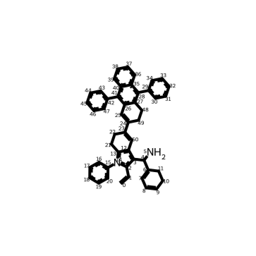 C=Cc1c(C(N)C2=CC=CCC2)c2c(n1-c1ccccc1)CCC(C1=Cc3c(c(-c4ccccc4)c4ccccc4c3-c3ccccc3)CC1)=C2